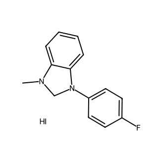 CN1CN(c2ccc(F)cc2)c2ccccc21.I